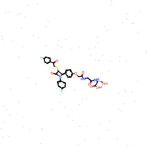 O=C(COc1ccc(C2C(SCC(=O)c3ccc(F)cc3)C(=O)N2c2ccc(F)cc2)cc1)NCC(=O)N[C@H](CO)C(=O)O